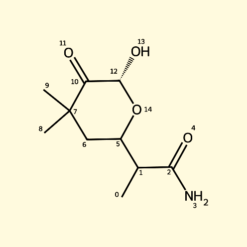 CC(C(N)=O)C1CC(C)(C)C(=O)[C@H](O)O1